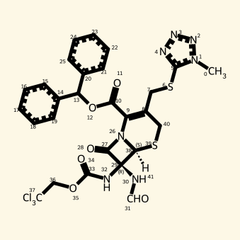 Cn1nnnc1SCC1=C(C(=O)OC(c2ccccc2)c2ccccc2)N2C(=O)[C@@](NC=O)(NC(=O)OCC(Cl)(Cl)Cl)[C@@H]2SC1